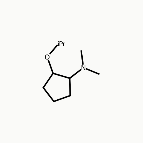 CC(C)OC1CCCC1N(C)C